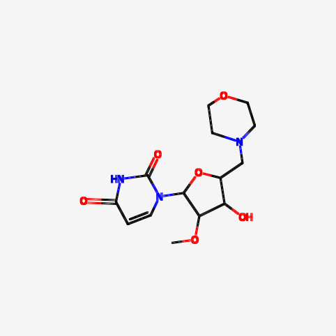 COC1C(O)C(CN2CCOCC2)OC1n1ccc(=O)[nH]c1=O